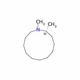 C[C@@H]1CCCCCCCCCCN1C